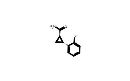 NC(=O)[C@@H]1C[C@H]1c1ccccc1Br